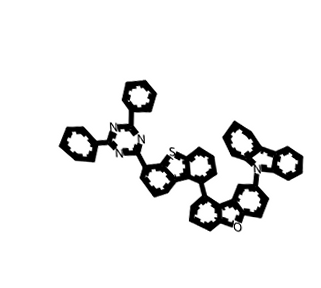 c1ccc(-c2nc(-c3ccccc3)nc(-c3cccc4c3sc3cccc(-c5cccc6oc7ccc(-n8c9ccccc9c9ccccc98)cc7c56)c34)n2)cc1